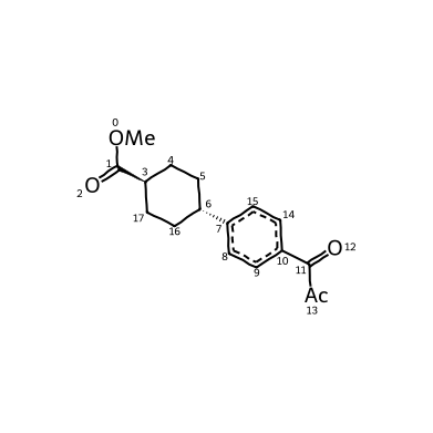 COC(=O)[C@H]1CC[C@H](c2ccc(C(=O)C(C)=O)cc2)CC1